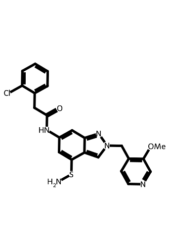 COc1cnccc1Cn1cc2c(SN)cc(NC(=O)Cc3ccccc3Cl)cc2n1